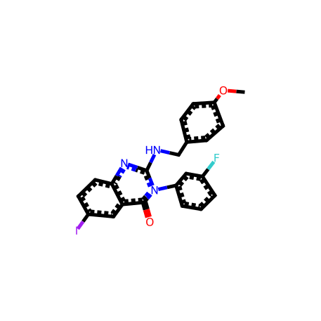 COc1ccc(CNc2nc3ccc(I)cc3c(=O)n2-c2cccc(F)c2)cc1